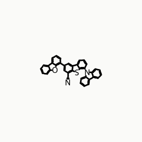 N#Cc1cc(-c2cccc3c2oc2ccccc23)cc2c1sc1c(-n3c4ccccc4c4ccccc43)cccc12